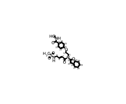 CS(=O)(=O)NCC=CC(=O)N(CCOc1ccc(C(=O)NO)cc1)c1cc2ccccc2o1